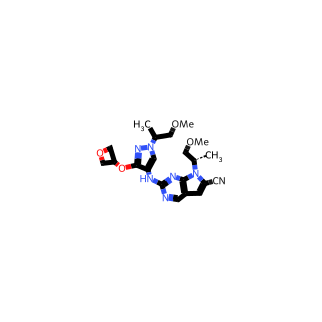 COCC(C)n1cc(Nc2ncc3cc(C#N)n([C@@H](C)COC)c3n2)c(OC2COC2)n1